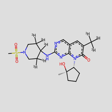 [2H]C([2H])([2H])c1cc2cnc(NC3([2H])C([2H])([2H])CN(S(C)(=O)=O)CC3([2H])[2H])nc2n([C@@H]2CCC[C@@]2(C)O)c1=O